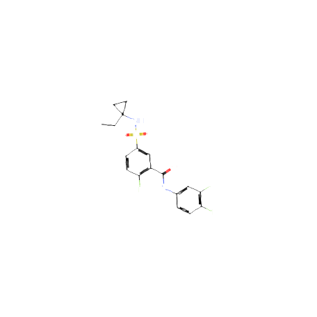 CCC1(NS(=O)(=O)c2ccc(F)c(C(=O)Nc3ccc(F)c(F)c3)c2)CC1